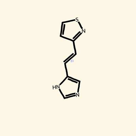 C(=C\c1cnc[nH]1)/c1ccsn1